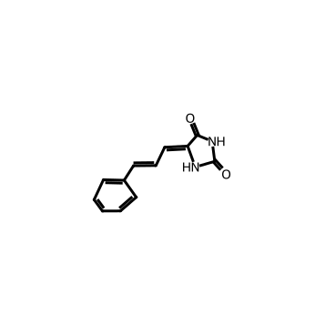 O=C1NC(=O)C(=CC=Cc2ccccc2)N1